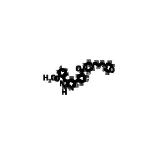 COc1ccccc1-c1n[nH]c2ncc(-c3cccc(C(=O)N4CCN(CCCN5CCOCC5)CC4)c3)cc12